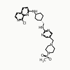 CS(=O)(=O)N1CCN(Cc2cnc(NC[C@H]3CC[C@H](Nc4ccc5ccnc(Cl)c5n4)CC3)nc2)CC1